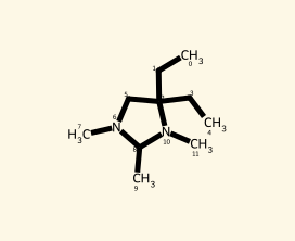 CCC1(CC)CN(C)C(C)N1C